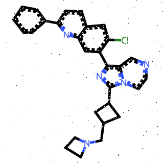 Clc1cc2ccc(-c3ccccc3)nc2cc1-c1nc(C2CC(CN3CCC3)C2)n2ccncc12